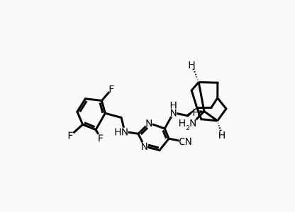 N#Cc1cnc(NCc2c(F)ccc(F)c2F)nc1NC[C@]12CC3C[C@H](C1)[C@@H](N)[C@@H](C3)C2